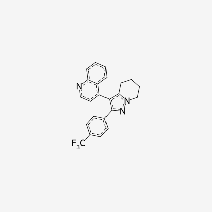 FC(F)(F)c1ccc(-c2nn3c(c2-c2ccnc4ccccc24)CCCC3)cc1